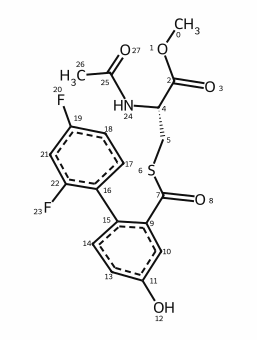 COC(=O)[C@H](CSC(=O)c1cc(O)ccc1-c1ccc(F)cc1F)NC(C)=O